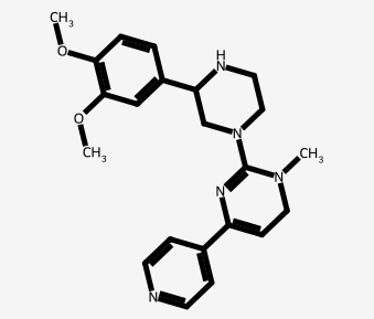 COc1ccc(C2CN(C3=NC(c4ccncc4)=CCN3C)CCN2)cc1OC